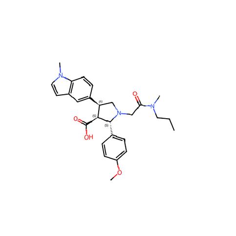 CCCN(C)C(=O)CN1C[C@H](c2ccc3c(ccn3C)c2)[C@H](C(=O)O)[C@H]1c1ccc(OC)cc1